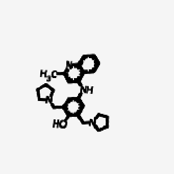 Cc1cc(Nc2cc(CN3CCCC3)c(O)c(CN3CCCC3)c2)c2ccccc2n1